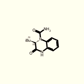 CC[C@H](C)[C@H]1C(=O)Nc2ccccc2N1C(N)=O